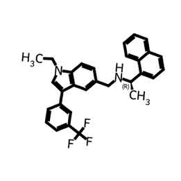 CCn1cc(-c2cccc(C(F)(F)F)c2)c2cc(CN[C@H](C)c3cccc4ccccc34)ccc21